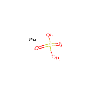 O=S(=O)(O)O.[Pu]